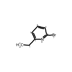 [CH2]Cc1cccc(Br)n1